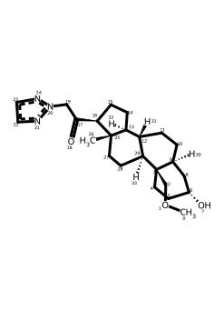 COC[C@]12CC[C@@H](O)C[C@@H]1CC[C@H]1[C@@H]3CC[C@H](C(=O)Cn4nccn4)[C@@]3(C)CC[C@@H]12